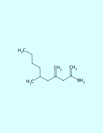 BC(=C)CC(=C)CC(C)CCCC